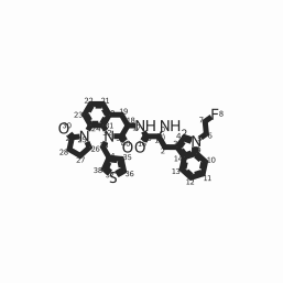 N[C@H](Cc1cn(CCF)c2ccccc12)C(=O)NC1Cc2cccc(N3CCCC3=O)c2N(Cc2ccsc2)C1=O